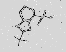 CC(C)(C)c1nc2c(S(=O)(=O)O)cccc2o1